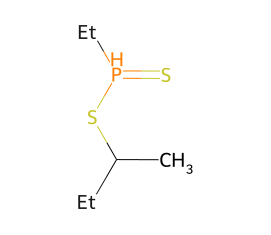 CCC(C)S[PH](=S)CC